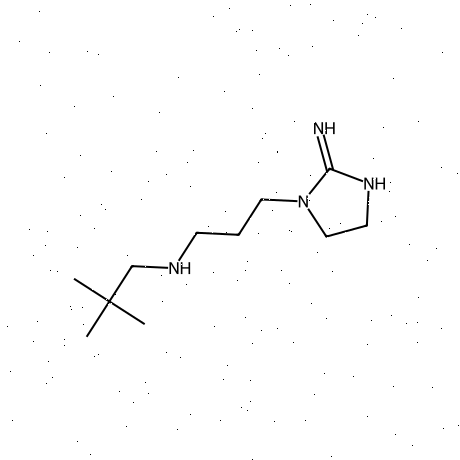 CC(C)(C)CNCCCN1CCNC1=N